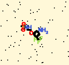 CS(=O)(=O)NCCOc1cc(N)cc(C(F)(F)F)c1